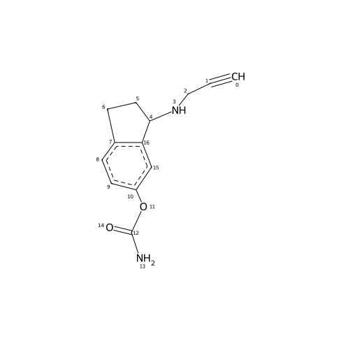 C#CCNC1CCc2ccc(OC(N)=O)cc21